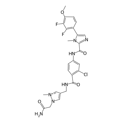 COc1ccc(-c2cnc(C(=O)Nc3ccc(C(=O)NCc4cn(CC(N)=O)[n+](C)c4)c(Cl)c3)n2C)c(F)c1F